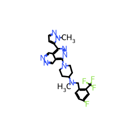 CN(Cc1ccc(F)cc1C(F)(F)F)C1CCN(c2nnc(-c3ccnn3C)c3cnncc23)CC1